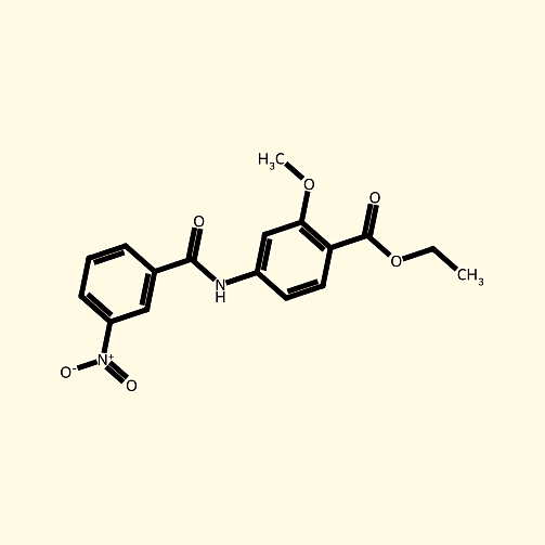 CCOC(=O)c1ccc(NC(=O)c2cccc([N+](=O)[O-])c2)cc1OC